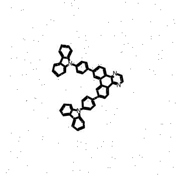 c1ccc2c(c1)c1ccccc1n2-c1ccc(-c2ccc3c(c2)c2cc(-c4ccc(-n5c6ccccc6c6ccccc65)cc4)ccc2c2nccnc32)cc1